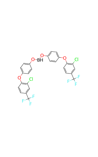 FC(F)(F)c1ccc(Oc2ccc(OBOc3ccc(Oc4ccc(C(F)(F)F)cc4Cl)cc3)cc2)c(Cl)c1